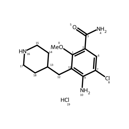 COc1c(C(N)=O)cc(Cl)c(N)c1CC1CCNCC1.Cl